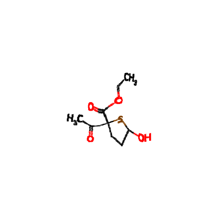 CCOC(=O)C1(C(C)=O)CCC(O)S1